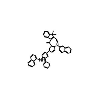 C=C1C2=C(/C=C\N(c3ccc4ccccc4c3)c3ccc(-c4ccc(Nc5cccc6ccccc56)c(-c5ccccc5)c4)cc31)C(C)(C)c1ccccc12